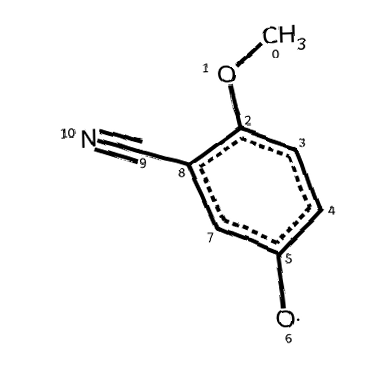 COc1ccc([O])cc1C#N